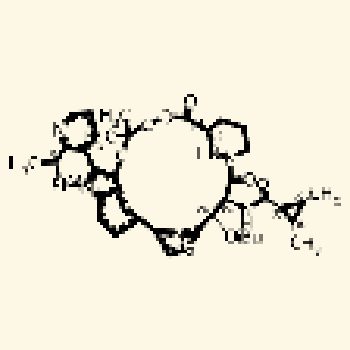 CCn1c(-c2cccnc2[C@H](C)OC)c2c3cc(ccc31)-c1csc(n1)[C@@H](OCC(C)C)[C@H](NC(=O)[C@H]1[C@H](C)[C@@H]1C)C(=O)N1CCC[C@H](N1)C(=O)OCC(C)(C)C2